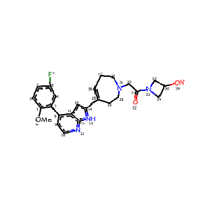 COc1ccc(F)cc1-c1ccnc2[nH]c(C3=CCCN(CC(=O)N4CC(O)C4)CC3)cc12